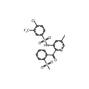 CS(=O)(=O)c1ccccc1C(=O)c1ncc(I)cc1NS(=O)(=O)c1ccc(Cl)c(C(F)(F)F)c1